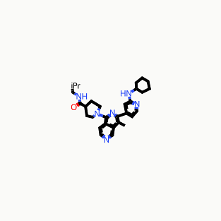 Cc1c(-c2ccnc(NC3CCCCC3)c2)nc(N2CCC(C(=O)NCC(C)C)CC2)c2ccncc12